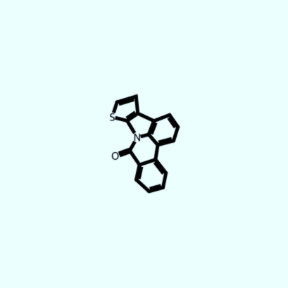 O=c1c2ccccc2c2cccc3c4ccsc4n1c23